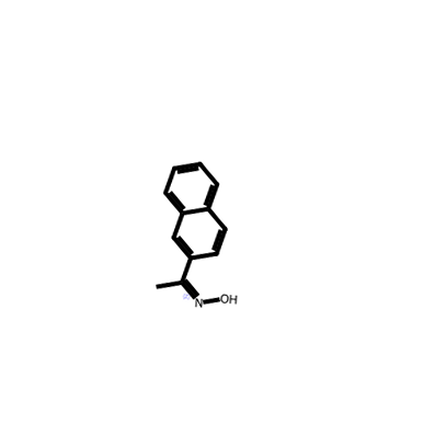 C/C(=N/O)c1ccc2ccccc2c1